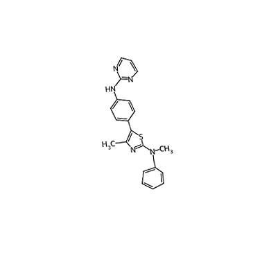 Cc1nc(N(C)c2ccccc2)sc1-c1ccc(Nc2ncccn2)cc1